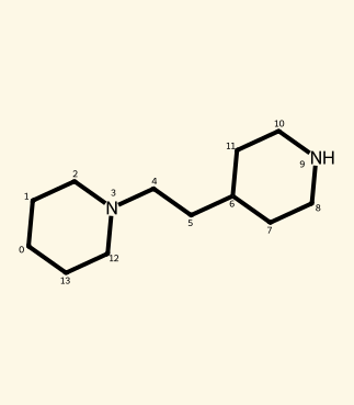 C1CCN(CCC2CCNCC2)CC1